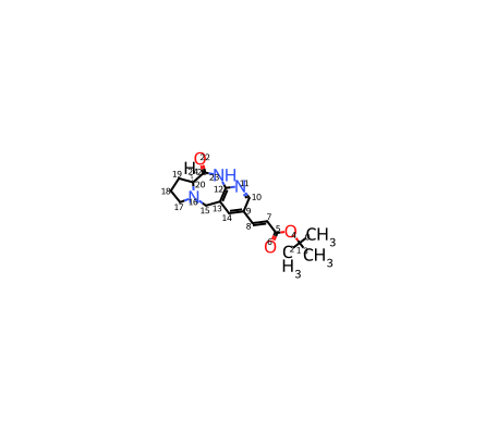 CC(C)(C)OC(=O)/C=C/c1cnc2c(c1)CN1CCC[C@H]1C(=O)N2